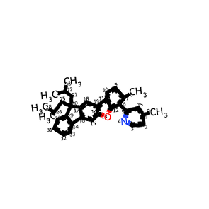 Cc1ccnc(-c2c(C)ccc3c2oc2cc4c(cc23)C(CC(C)C)(CC(C)C)c2ccccc2-4)c1